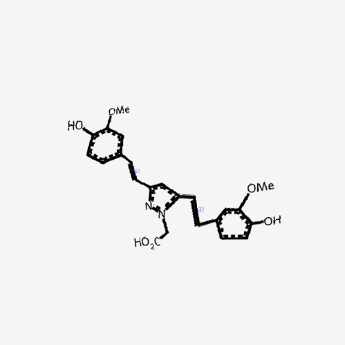 COc1cc(/C=C/c2cc(/C=C/c3ccc(O)c(OC)c3)n(CC(=O)O)n2)ccc1O